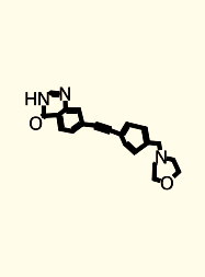 O=c1[nH]cnc2cc(C#Cc3ccc(CN4CCOCC4)cc3)ccc12